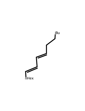 CCCCCCC=CC=CCCC(C)CC